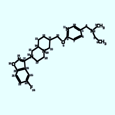 CCN(C)Cc1ccc(OCC2CCC3CN(c4noc5ccc(F)cc45)CCN3C2)nc1